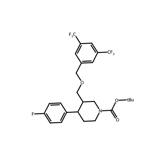 CC(C)(C)OC(=O)N1CCC(c2ccc(F)cc2)C(COCc2cc(C(F)(F)F)cc(C(F)(F)F)c2)C1